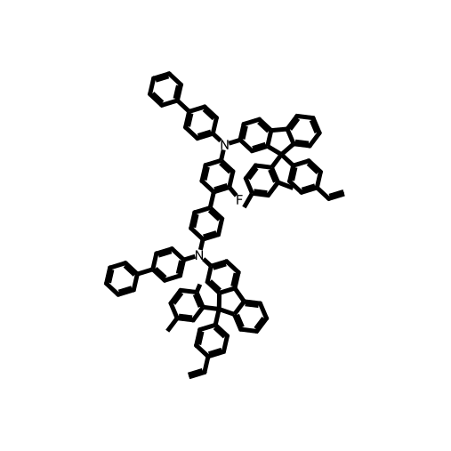 C=Cc1ccc(C2(c3ccc(C)cc3C)c3ccccc3-c3ccc(N(c4ccc(-c5ccccc5)cc4)c4ccc(-c5ccc(N(c6ccc(-c7ccccc7)cc6)c6ccc7c(c6)C(c6ccc(C=C)cc6)(c6cc(C)ccc6C)c6ccccc6-7)cc5)c(F)c4)cc32)cc1